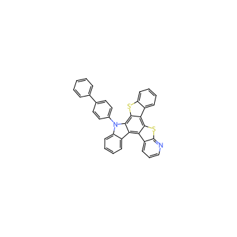 c1ccc(-c2ccc(-n3c4ccccc4c4c5c6cccnc6sc5c5c6ccccc6sc5c43)cc2)cc1